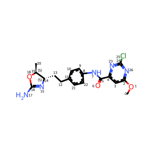 COc1cc(C(=O)Nc2ccc(CC[C@@H]3N=C(N)O[C@H]3C)cc2)nc(Cl)n1